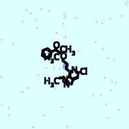 CCn1ncc2cc(Cl)nc(/C=C/COC(C)(C)C(=O)c3ccccc3)c21